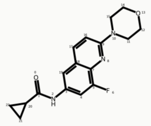 O=C(Nc1cc(F)c2nc(N3CCOCC3)ccc2c1)C1CC1